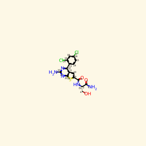 NC(=O)[C@H](CO)NC(=O)c1cc2c(-c3ccc(Cl)cc3Cl)nc(N)nc2s1